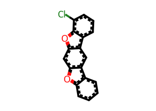 Clc1cccc2c1oc1cc3oc4ccccc4c3cc12